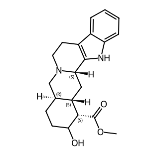 COC(=O)[C@@H]1C(O)CC[C@H]2CN3CCc4c([nH]c5ccccc45)[C@@H]3C[C@@H]21